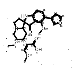 CC[C@@H]1CN2CCC3(Nc4ccc(-c5ccoc5)c(OC)c4C3=O)C2C[C@@H]1C(=COC)C(=O)O